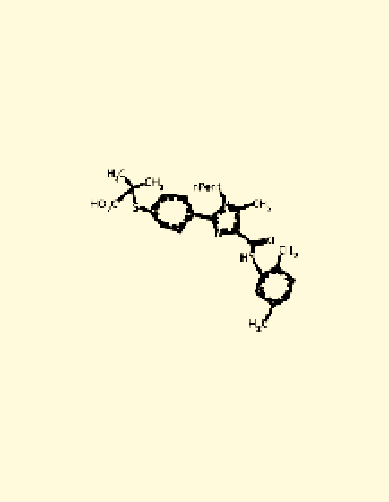 CCCCCn1c(-c2ccc(SC(C)(C)C(=O)O)cc2)nc(C(=O)Nc2cc(C)ccc2C)c1C